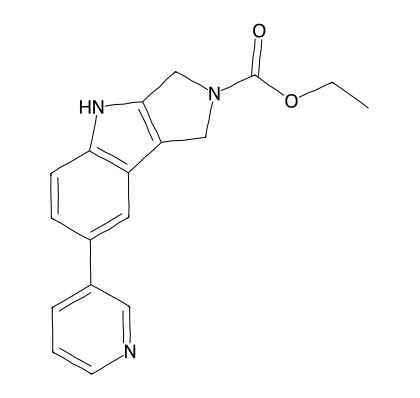 CCOC(=O)N1Cc2[nH]c3ccc(-c4cccnc4)cc3c2C1